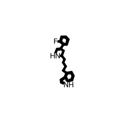 Fc1ccccc1C1=CCNC(CCCCc2cccc3[nH]ccc23)C1